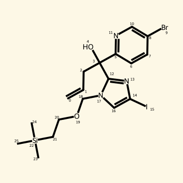 C=CCC(O)(c1ccc(Br)cn1)c1nc(I)cn1COCC[Si](C)(C)C